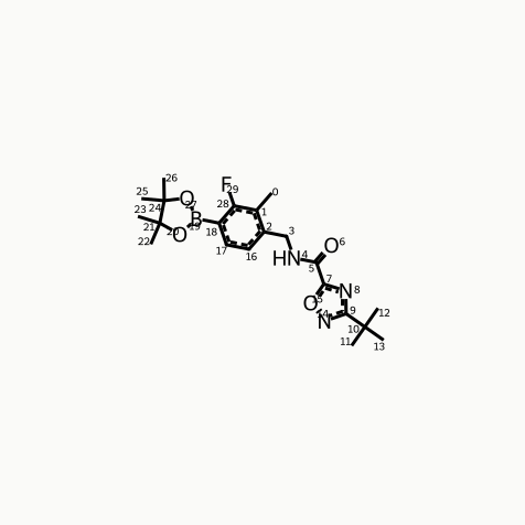 Cc1c(CNC(=O)c2nc(C(C)(C)C)no2)ccc(B2OC(C)(C)C(C)(C)O2)c1F